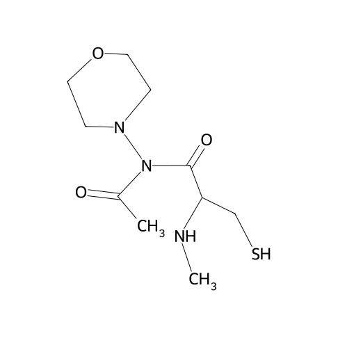 CNC(CS)C(=O)N(C(C)=O)N1CCOCC1